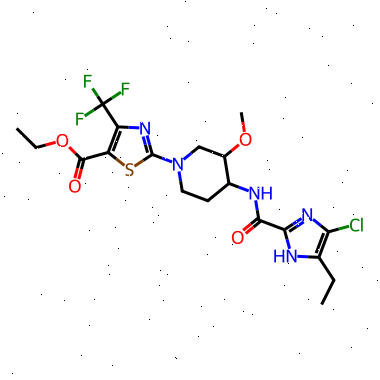 CCOC(=O)c1sc(N2CCC(NC(=O)c3nc(Cl)c(CC)[nH]3)C(OC)C2)nc1C(F)(F)F